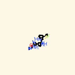 CN(C)CC(=O)Nc1cncc(-c2ccc3[nH]nc(-c4cc5c(-c6ccc(F)s6)cccc5[nH]4)c3c2)c1